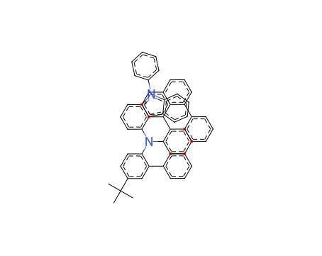 CC(C)(C)c1ccc(N(c2ccccc2-c2cccc3cccc(-c4ccccc4)c23)c2cccc3c2c2ccccc2n3-c2ccccc2)c(-c2ccccc2)c1